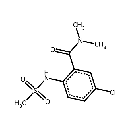 CN(C)C(=O)c1cc(Cl)ccc1NS(C)(=O)=O